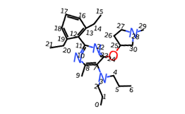 CCCN(CCC)c1c(C)nc(-c2c(CC)cccc2CC)nc1OC1CCN(C)C1